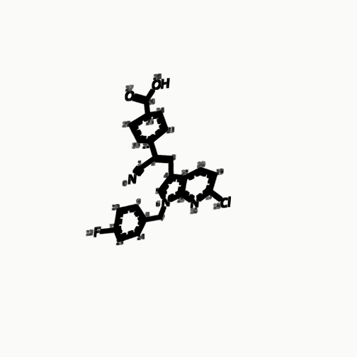 N#CC(=Cc1cn(Cc2ccc(F)cc2)c2nc(Cl)ccc12)c1ccc(C(=O)O)cc1